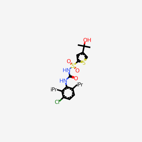 CC(C)c1ccc(Cl)c(C(C)C)c1NC(=O)NS(=O)(=O)c1cc(C(C)(C)O)cs1